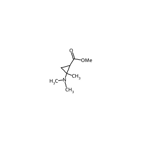 COC(=O)C1CC1(C)N(C)C